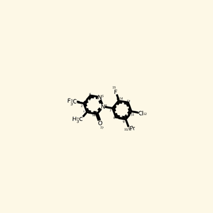 Cc1c(C(F)(F)F)cnn(-c2cc(C(C)C)c(Cl)cc2F)c1=O